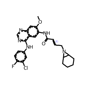 COc1cc2ncnc(Nc3ccc(F)c(Cl)c3)c2cc1NC(=O)/C=C/CN1C2CCCCC21